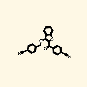 N#Cc1ccc(COc2c(C(=O)c3ccc(C#N)cc3)sc3ccccc23)cc1